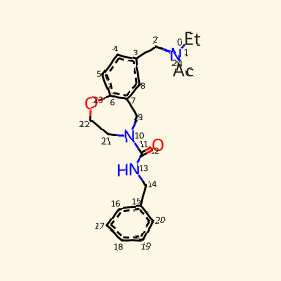 CCN(Cc1ccc2c(c1)CN(C(=O)NCc1ccccc1)CCO2)C(C)=O